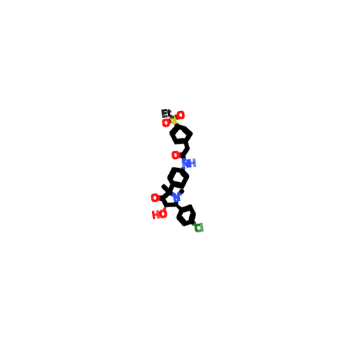 CCS(=O)(=O)c1ccc(CC(=O)Nc2ccc(C3(C)C(=O)[C@@H](O)[C@H](c4ccc(Cl)cc4)N3C)cc2)cc1